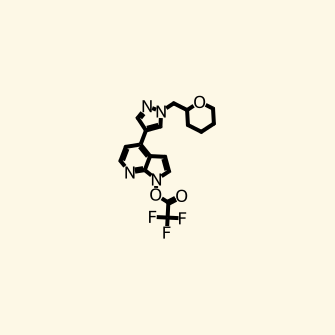 O=C(On1ccc2c(-c3cnn(CC4CCCCO4)c3)ccnc21)C(F)(F)F